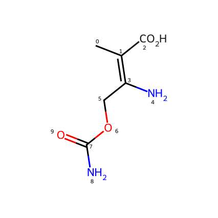 CC(C(=O)O)=C(N)COC(N)=O